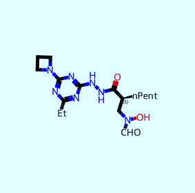 CCCCC[C@@H](CN(O)C=O)C(=O)NNc1nc(CC)nc(N2CCC2)n1